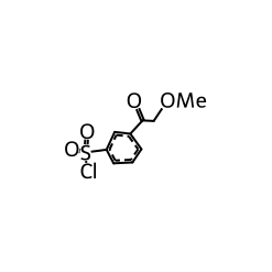 COCC(=O)c1cccc(S(=O)(=O)Cl)c1